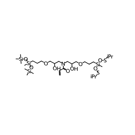 C=CC(=O)N(CC(O)COCCC[Si](C)(OSC(C)C)OSC(C)C)CC(O)COCCC[Si](C)(O[Si](C)(C)C)O[Si](C)(C)C